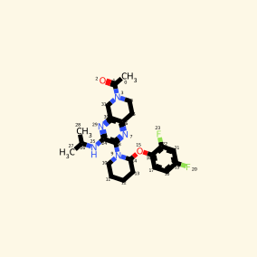 CC(=O)N1CCc2nc(N3CCCCC3Oc3ccc(F)cc3F)c(NC(C)C)nc2C1